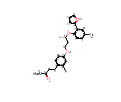 CCc1ccc(O[C@@H](C)CCOc2ccc(CCC(=O)OC)c(C)c2)c(-c2ccco2)c1